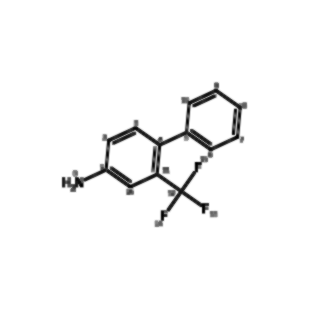 Nc1ccc(-c2cc[c]cc2)c(C(F)(F)F)c1